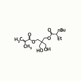 C=C(C)C(=O)OCC(CO)(CO)COC(=O)C(CC)CCCC